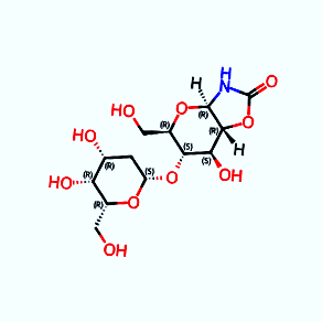 O=C1N[C@@H]2O[C@H](CO)[C@@H](O[C@H]3C[C@@H](O)[C@@H](O)[C@@H](CO)O3)[C@H](O)[C@H]2O1